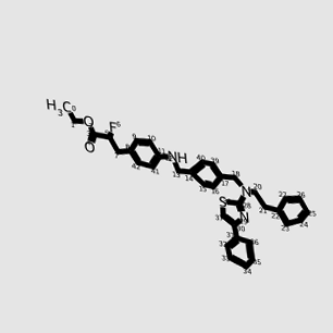 CCOC(=O)C(F)Cc1ccc(NCc2ccc(CN(CCc3ccccc3)c3nc(-c4ccccc4)cs3)cc2)cc1